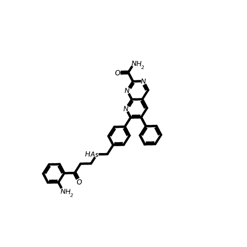 NC(=O)c1ncc2cc(-c3ccccc3)c(-c3ccc(C[AsH]CCC(=O)c4ccccc4N)cc3)nc2n1